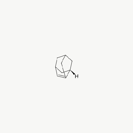 C1=C2CC3CC1C[C@@H]2C3